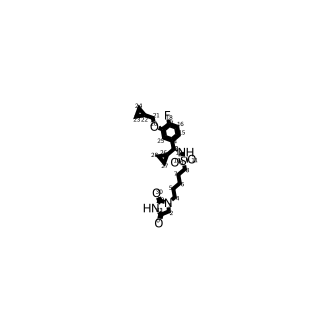 O=C1CN(CCCCCS(=O)(=O)N[C@@H](c2ccc(F)c(OCC3CC3)c2)C2CC2)C(=O)N1